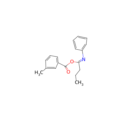 CCCC(=Nc1ccccc1)OC(=O)c1cccc(C)c1